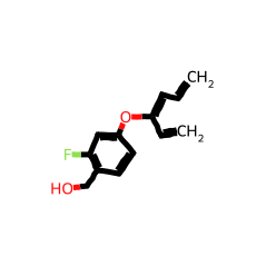 C=C/C=C(\C=C)Oc1ccc(CO)c(F)c1